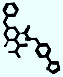 CC(C)C(=O)N1[C@H](C)CN(Cc2ccccc2)C[C@@H]1C(=O)NCc1ccc(-c2ccco2)cc1